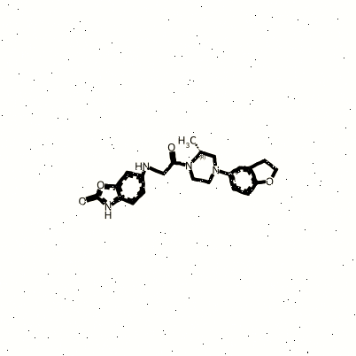 C[C@@H]1CN(c2ccc3c(c2)CCO3)CCN1C(=O)CNc1ccc2[nH]c(=O)oc2c1